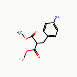 COC(=O)C(Cc1ccc(N)cc1)C(=O)OC